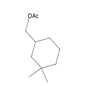 CC(=O)OCC1CCCC(C)(C)C1